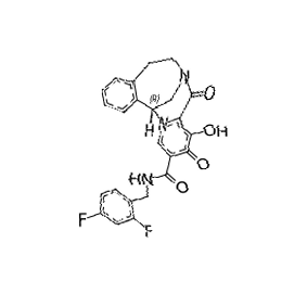 O=C(NCc1ccc(F)cc1F)c1cn2c(c(O)c1=O)C(=O)N1CCc3ccccc3[C@@H]2C1